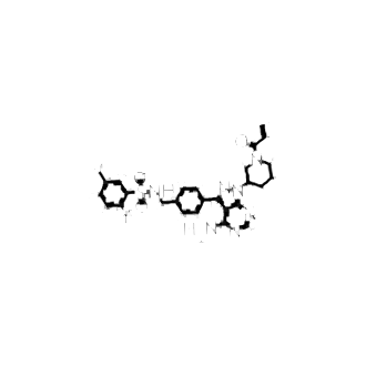 C=CC(=O)N1CCCC(n2nc(-c3ccc(CNS(=O)(=O)c4cc(C)ccc4F)cc3)c3c(N)ncnc32)C1